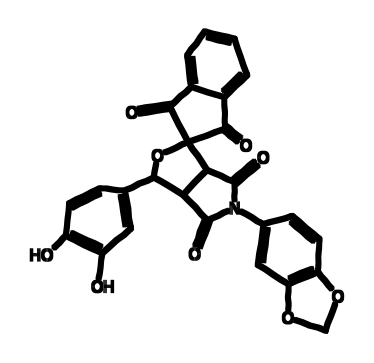 O=C1C2C(c3ccc(O)c(O)c3)OC3(C(=O)c4ccccc4C3=O)C2C(=O)N1c1ccc2c(c1)OCO2